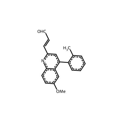 COc1ccc2nc(C=CC=O)cc(-c3ccccc3C)c2c1